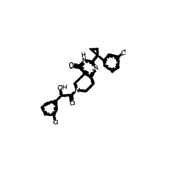 O=C(C(O)c1cccc(Cl)c1)N1CCc2nc(C3(c4cccc(Cl)c4)CC3)[nH]c(=O)c2C1